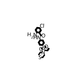 C=CC(N1CCSCC1)S(=O)(=O)c1ccc(NC(=O)c2cc(Cl)ccc2N)cc1